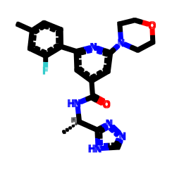 Cc1ccc(-c2cc(C(=O)N[C@@H](C)c3nnc[nH]3)cc(N3CCOCC3)n2)c(F)c1